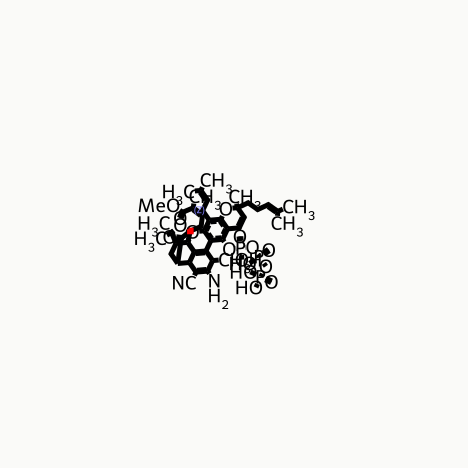 COC(=O)/C(C)=C\CC12OC(C)(C)C3CC(C1=O)C1C(C#N)=C(N)C(C)C4=C1C32Oc1c(CC=C(C)C)c2c(c(OP(=O)(O)OP(=O)(O)OP(=O)(O)O)c14)C=CC(C)(CCC=C(C)C)O2